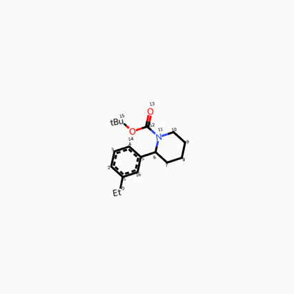 CCc1cccc(C2CCCCN2C(=O)OC(C)(C)C)c1